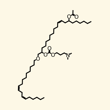 CCCCC/C=C\C/C=C\CCCCCCCCOCC(CCCCCCCC/C=C\CC(CCCCCC)OC(C)=O)OC(=O)OCCCN(C)C